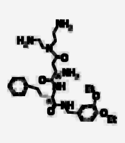 CCOc1ccc(CNC(=O)[C@H](CCc2ccccc2)NC(=O)[C@@H](N)CC(=O)N(CCN)CCN)cc1OCC